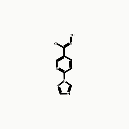 ON=C(Cl)c1ccc(-n2cncn2)nc1